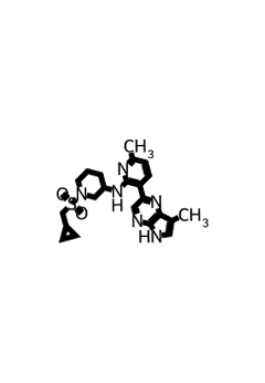 Cc1ccc(-c2cnc3[nH]cc(C)c3n2)c(NC2CCCN(S(=O)(=O)CC3CC3)C2)n1